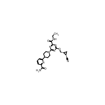 CCNC(=O)c1nc(OC[C@H]2C[C@H]2C#N)nc(N2CCC(c3cccc(C(N)=O)n3)CC2)n1